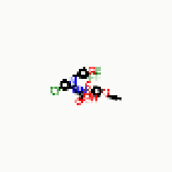 CC#CCOc1ccc(S(=O)(=O)NC(Cc2cn(Cc3ccc(OC(F)(F)F)cc3)c3ccc(Cl)cc23)C(=O)O)cc1